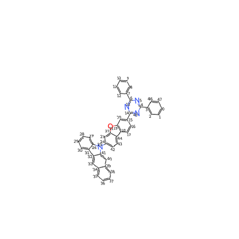 c1ccc(-c2nc(-c3ccccc3)nc(-c3ccc4c(c3)oc3cc(-n5c6ccccc6c6cc7ccccc7cc65)ccc34)n2)cc1